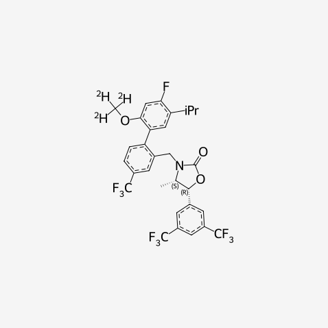 [2H]C([2H])([2H])Oc1cc(F)c(C(C)C)cc1-c1ccc(C(F)(F)F)cc1CN1C(=O)O[C@H](c2cc(C(F)(F)F)cc(C(F)(F)F)c2)[C@@H]1C